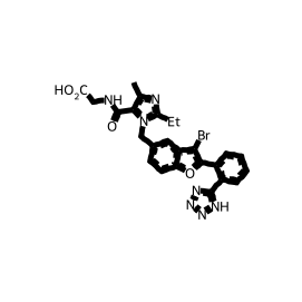 CCc1nc(C)c(C(=O)NCC(=O)O)n1Cc1ccc2oc(-c3ccccc3-c3nnn[nH]3)c(Br)c2c1